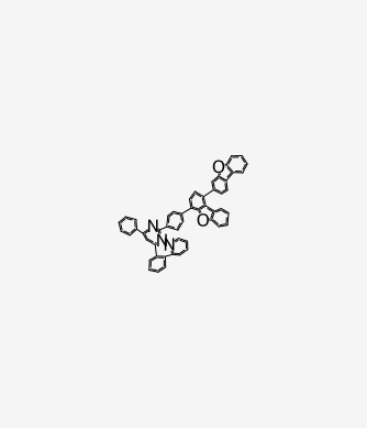 c1ccc(-c2cc(-c3ccccc3-c3ccccn3)nc(-c3ccc(-c4ccc(-c5ccc6c(c5)oc5ccccc56)c5c4oc4ccccc45)cc3)n2)cc1